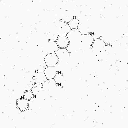 COC(=O)NCC1COC(=O)N1c1cc(F)c(N2CCN(C(=O)[C@@H](NC(=O)c3cn4cccnc4n3)C(C)C)CC2)c(F)c1